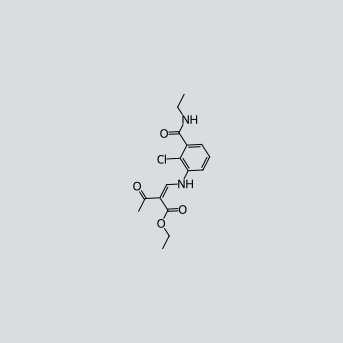 CCNC(=O)c1cccc(NC=C(C(C)=O)C(=O)OCC)c1Cl